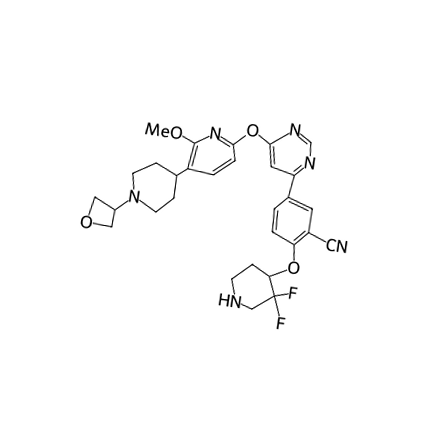 COc1nc(Oc2cc(-c3ccc(OC4CCNCC4(F)F)c(C#N)c3)ncn2)ccc1C1CCN(C2COC2)CC1